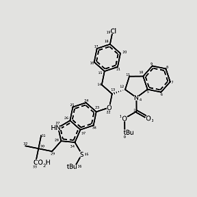 CC(C)(C)OC(=O)N1c2ccccc2C[C@H]1C(Cc1ccc(Cl)cc1)Oc1ccc2[nH]c(CC(C)(C)C(=O)O)c(SC(C)(C)C)c2c1